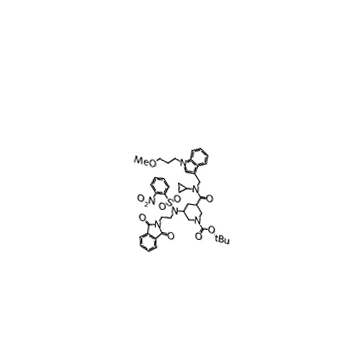 COCCCn1cc(CN(C(=O)C2CC(N(CCN3C(=O)c4ccccc4C3=O)S(=O)(=O)c3ccccc3[N+](=O)[O-])CN(C(=O)OC(C)(C)C)C2)C2CC2)c2ccccc21